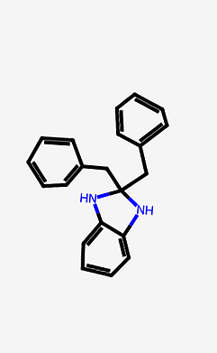 c1ccc(CC2(Cc3ccccc3)Nc3ccccc3N2)cc1